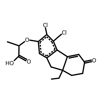 CCC12CCC(=O)C=C1c1c(cc(OC(C)C(=O)O)c(Cl)c1Cl)C2